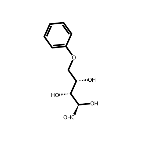 O=C[C@H](O)[C@H](O)[C@@H](O)COc1ccccc1